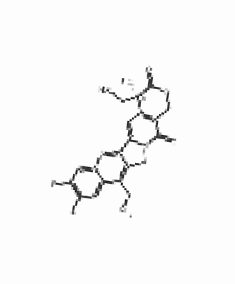 CC[C@@]1(O)C(=O)OCc2c1cc1n(c2=O)Cc2c-1nc1cc(F)c(Br)cc1c2CN